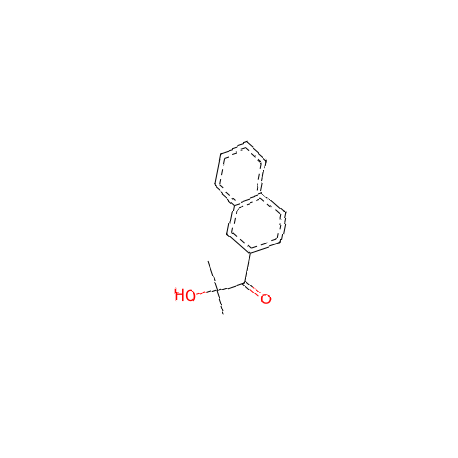 CC(C)(O)C(=O)c1ccc2ccccc2c1